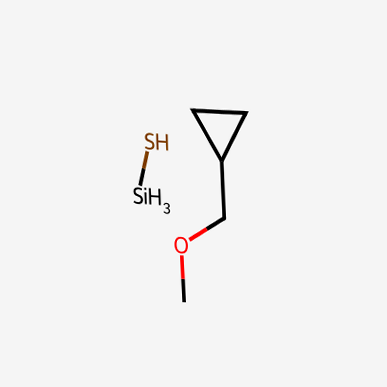 COCC1CC1.[SiH3]S